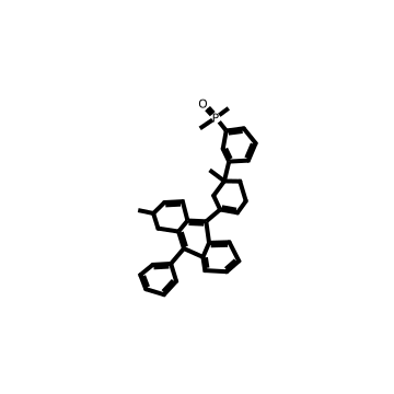 CC1C=Cc2c(c(-c3ccccc3)c3ccccc3c2C2=CCCC(C)(c3cccc(P(C)(C)=O)c3)C2)C1